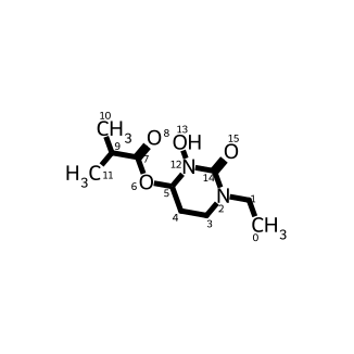 CCN1CCC(OC(=O)C(C)C)N(O)C1=O